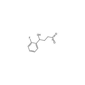 O=[SH](=O)CCC(O)c1ccccc1F